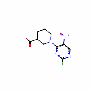 O=C(O)C1CCCN(c2nc(Cl)ncc2[N+](=O)[O-])C1